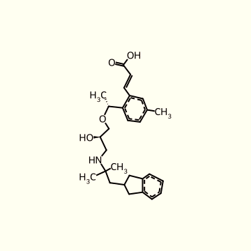 Cc1ccc([C@@H](C)OC[C@H](O)CNC(C)(C)CC2Cc3ccccc3C2)c(C=CC(=O)O)c1